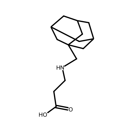 O=C(O)CCNCC12CC3CC(CC(C3)C1)C2